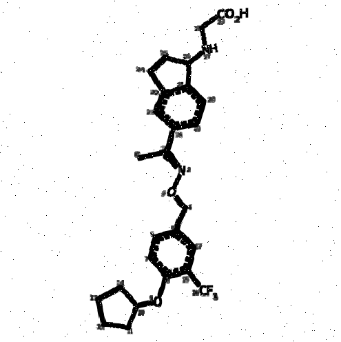 C/C(=N\OCc1ccc(OC2CCCC2)c(C(F)(F)F)c1)c1ccc2c(c1)CCC2NCC(=O)O